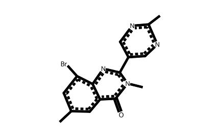 Cc1cc(Br)c2nc(-c3cnc(C)nc3)n(C)c(=O)c2c1